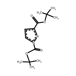 CC(C)(C)OC(=O)c1ccn(C(=O)OC(C)(C)C)n1